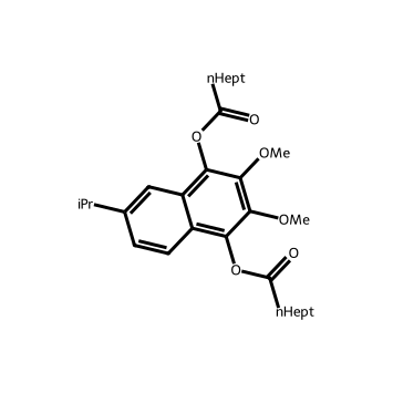 CCCCCCCC(=O)Oc1c(OC)c(OC)c(OC(=O)CCCCCCC)c2cc(C(C)C)ccc12